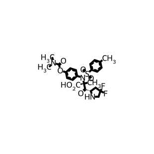 Cc1ccc(S(=O)(=O)N(c2ccc(OC(=O)N(C)C)cc2)[C@@](C)(C(=O)O)C(=O)[C@@H]2CC(F)(F)CN2)cc1